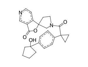 O=C1OC2(CCN(C(=O)C3(c4ccc(C5(O)CCCC5)cc4)CC3)C2)c2ccncc21